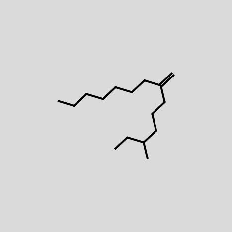 C=C(CCCCCCC)CCCC(C)CC